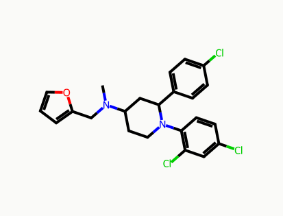 CN(Cc1ccco1)C1CCN(c2ccc(Cl)cc2Cl)C(c2ccc(Cl)cc2)C1